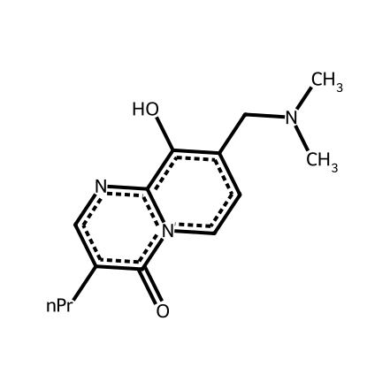 CCCc1cnc2c(O)c(CN(C)C)ccn2c1=O